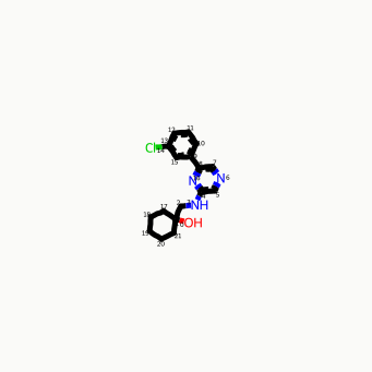 OC1(CNc2cncc(-c3cccc(Cl)c3)n2)CCCCC1